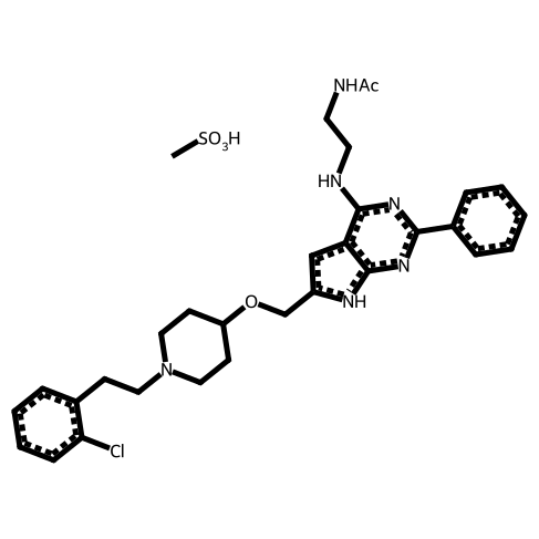 CC(=O)NCCNc1nc(-c2ccccc2)nc2[nH]c(COC3CCN(CCc4ccccc4Cl)CC3)cc12.CS(=O)(=O)O